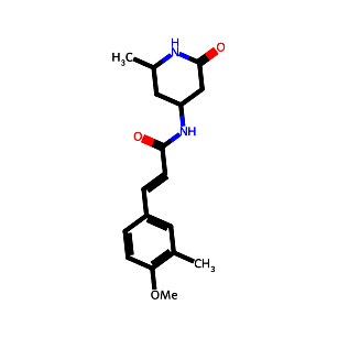 COc1ccc(C=CC(=O)NC2CC(=O)NC(C)C2)cc1C